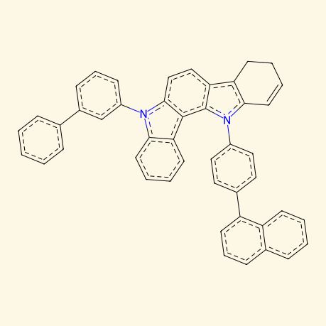 C1=Cc2c(c3ccc4c(c5ccccc5n4-c4cccc(-c5ccccc5)c4)c3n2-c2ccc(-c3cccc4ccccc34)cc2)CC1